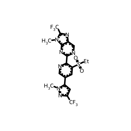 CCS(=O)(=O)c1cc(-c2cc(C(F)(F)F)nn2C)cnc1-c1ncc2nc(C(F)(F)F)n(C)c2n1